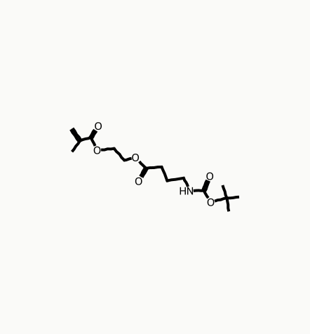 C=C(C)C(=O)OCCOC(=O)CCCNC(=O)OC(C)(C)C